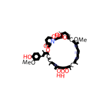 CO[C@H]1C[C@@H]2CC[C@@H](C)[C@@](O)(O2)C(=O)C(=O)N2CCCC[C@H]2C(=O)O[C@H]([C@H](C)C[C@@H]2CC[C@@H](O)[C@H](OC)C2)CC[C@H](C)/C=C(\C)[C@@H](O)[C@@H](O)C(=O)[C@H](C)C[C@H](C)/C=C/C=C/C=C/1C